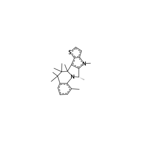 Cc1cccc2c1N1[C@@H](C)c3c(c4sccc4n3C)C1(C)C(C)(C)C2(C)C